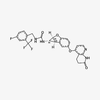 O=C1CCc2c(Oc3ccc4c(c3)[C@H]3[C@H](NC(=O)NCc5ccc(F)cc5C(F)(F)F)[C@H]3O4)ccnc2N1